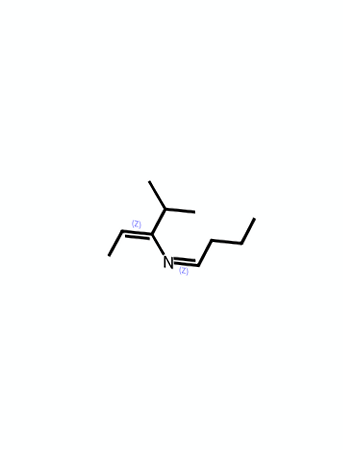 C/C=C(\N=C/CCC)C(C)C